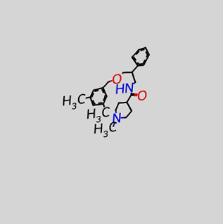 Cc1cc(C)cc(COCC(CNC(=O)C2CCN(C)CC2)c2ccccc2)c1